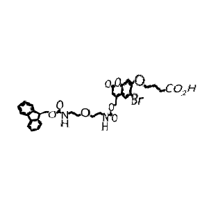 O=C(O)CCCOc1cc2oc(=O)cc(COC(=O)NCCOCCNC(=O)OCC3c4ccccc4-c4ccccc43)c2cc1Br